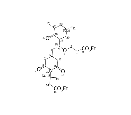 CCOC(=O)CCO[C@H](CC1CC(=O)N(C(C)(C)CC(=O)OCC)C(=O)C1)C1C[C@@H](C)CC(C)C1=O